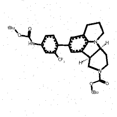 CC(C)(C)OC(=O)Nc1ccc(-c2cc3c4c(c2)[C@@H]2CN(C(=O)OC(C)(C)C)CC[C@@H]2N4CCC3)c(C(F)(F)F)c1